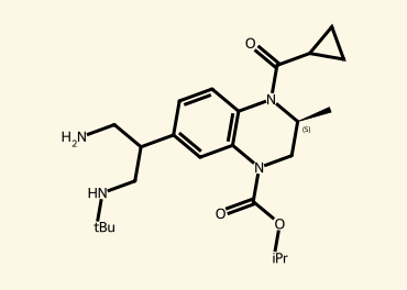 CC(C)OC(=O)N1C[C@H](C)N(C(=O)C2CC2)c2ccc(C(CN)CNC(C)(C)C)cc21